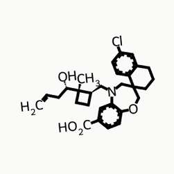 C=CC[C@H](O)[C@@]1(C)CC[C@@H]1CN1CC2(CCCc3cc(Cl)ccc32)COc2ccc(C(=O)O)cc21